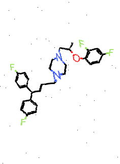 C[C@H](CN1CCN(CCCC(c2ccc(F)cc2)c2ccc(F)cc2)CC1)Oc1ccc(F)cc1F